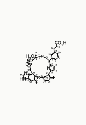 CC1(C)CCCC(c2cccc(CCC(=O)O)c2)n2ccc(n2)-c2cc(ccc2F)Oc2c(F)cc3[nH]cnc3c2CCS(=O)(=O)C1